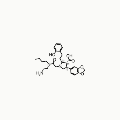 CCCCN(CCN)C(=O)CN1C[C@H](c2ccc3c(c2)OCO3)[C@@H](C(=O)O)[C@@H]1CCc1ccccc1O